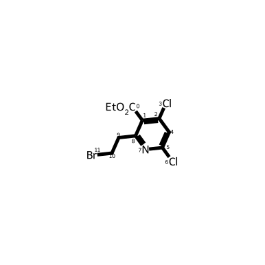 CCOC(=O)c1c(Cl)cc(Cl)nc1CCBr